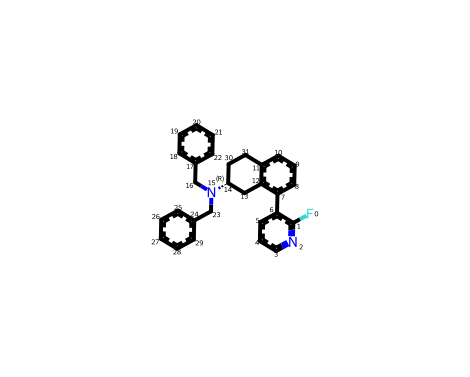 Fc1ncccc1-c1cccc2c1C[C@H](N(Cc1ccccc1)Cc1ccccc1)CC2